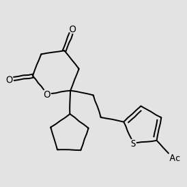 CC(=O)c1ccc(CCC2(C3CCCC3)CC(=O)CC(=O)O2)s1